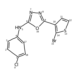 Clc1ccc(Nc2nnc(-c3ccsc3Br)o2)cc1